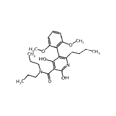 CCCCc1nc(O)c(C(=O)N(CCC)CCC)c(O)c1-c1c(OC)cccc1OC